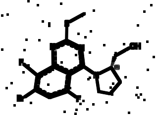 CSc1nc(N2CCC[C@H]2CO)c2c(F)cc(Br)c(F)c2n1